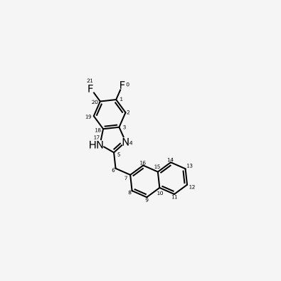 Fc1cc2nc(Cc3ccc4ccccc4c3)[nH]c2cc1F